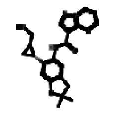 CC1(C)Cc2cc(NC(=O)c3cnn4cccnc34)c([C@@H]3C[C@H]3CO)cc2O1